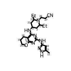 CCC1CC(Nc2nc(Nc3cc(C)[nH]n3)nc3c2CCCO3)CC(CC)N1CCC#N